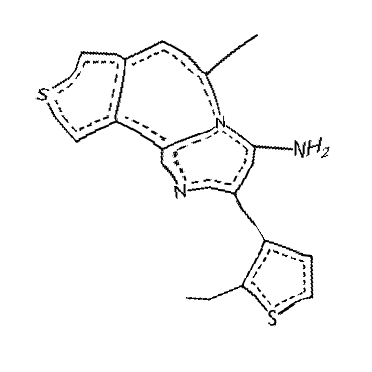 Cc1sccc1-c1nc2c3cscc3cc(C)n2c1N